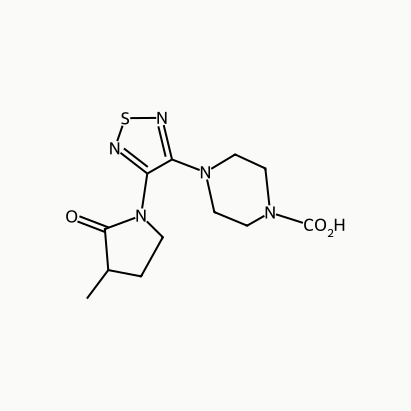 CC1CCN(c2nsnc2N2CCN(C(=O)O)CC2)C1=O